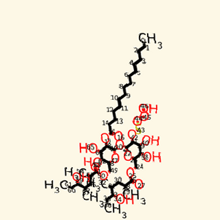 CCCCCCCCCCCCCCCC(=O)OC1C(OC2OC(COC(=O)C(C)CC(C)C(O)CC)C(O)C(O)C2OSOOO)OC(COC(=O)C(C)CC(C)C(O)CC)C(O)C1O